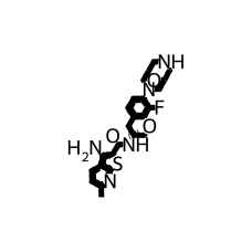 Cc1ccc2c(N)c(C(=O)N[C@H]3COc4c(ccc(N5CC6CNCC(C5)O6)c4F)C3)sc2n1